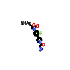 CC(=O)NC[C@H]1CN(c2ccc(C3=CCN(C(=O)CN(C)C)CC3)c(F)c2)C(=O)O1